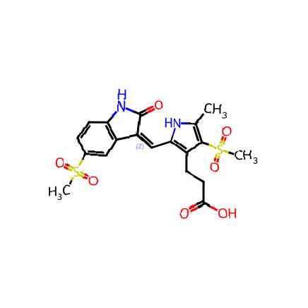 Cc1[nH]c(/C=C2\C(=O)Nc3ccc(S(C)(=O)=O)cc32)c(CCC(=O)O)c1S(C)(=O)=O